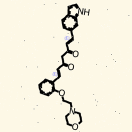 O=C(/C=C/c1ccc2cc[nH]c2c1)CC(=O)/C=C/c1ccccc1OCCN1CCOCC1